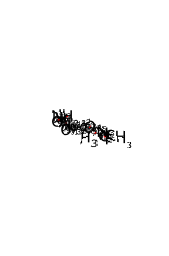 CC(C)(F)CN1CCC(COc2ccc(-c3ccc(C(=O)N4CCC[C@@H](C(N)=O)C4)cc3)cc2)CC1